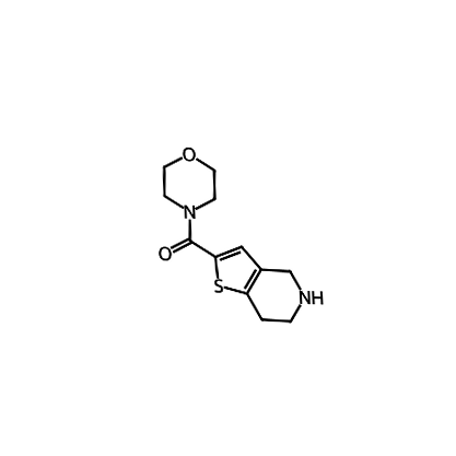 O=C(c1cc2c(s1)CCNC2)N1CCOCC1